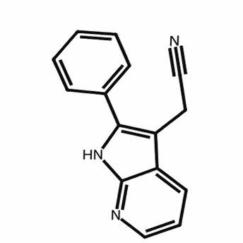 N#CCc1c(-c2ccccc2)[nH]c2ncccc12